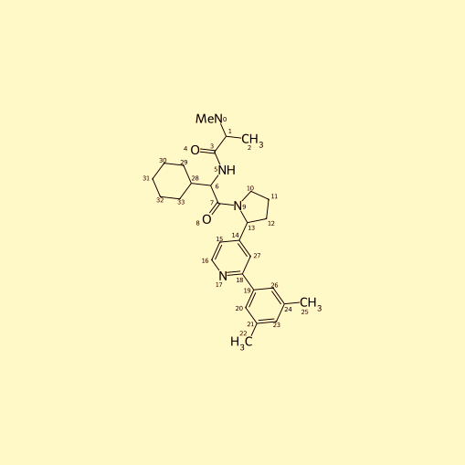 CNC(C)C(=O)NC(C(=O)N1CCCC1c1ccnc(-c2cc(C)cc(C)c2)c1)C1CCCCC1